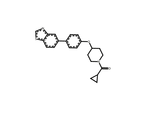 O=C(C1CC1)N1CCC(Oc2ccc(-c3ccc4scnc4c3)cc2)CC1